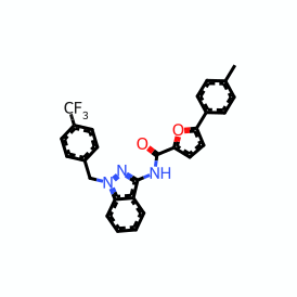 Cc1ccc(-c2ccc(C(=O)Nc3nn(Cc4ccc(C(F)(F)F)cc4)c4ccccc34)o2)cc1